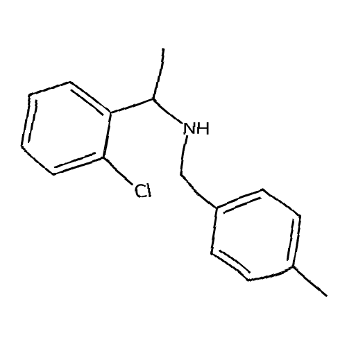 Cc1ccc(CNC(C)c2ccccc2Cl)cc1